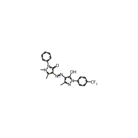 Cc1nn(-c2ccc(C(F)(F)F)cc2)c(O)c1/N=N/c1c(C)n(C)n(-c2ccccc2)c1=O